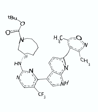 Cc1noc(C)c1-c1ccc2c(-c3nc(N[C@H]4CCCN(C(=O)OC(C)(C)C)C4)ncc3C(F)(F)F)c[nH]c2n1